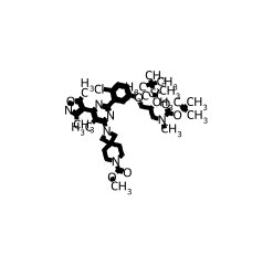 COC(=O)N1CCC2(CC1)CN(c1nc(-c3cc(OCC(CN(C)C(=O)OC(C)(C)C)O[Si](C)(C)C(C)(C)C)ccc3Cl)nc(-c3c(C)noc3C)c1C)C2